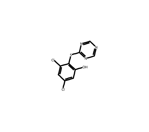 Oc1cc(Cl)cc(Cl)c1Sc1ncncn1